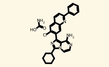 NC(=O)O.Nc1nccn2c(C3CCCCC3)nc(-c3cc4nc(-c5ccccc5)ccc4cc3Cl)c12